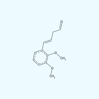 COc1cccc(C=CCC=O)c1OC